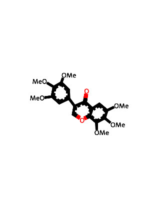 COc1cc(-c2coc3c(OC)c(OC)c(OC)cc3c2=O)cc(OC)c1OC